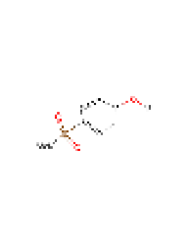 [CH2]NS(=O)(=O)c1ccc(OCC)cc1